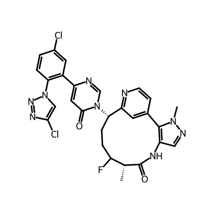 C[C@H]1C(=O)Nc2cnn(C)c2-c2ccnc(c2)[C@@H](n2cnc(-c3cc(Cl)ccc3-n3cc(Cl)nn3)cc2=O)CCC1F